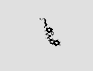 NCCCOc1ccc(Cl)c(NC(=O)Nc2nnc3ccccc3n2)c1